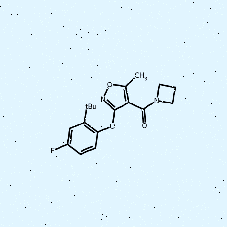 Cc1onc(Oc2ccc(F)cc2C(C)(C)C)c1C(=O)N1CCC1